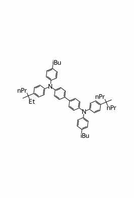 CCCC(C)(CC)c1ccc(N(c2ccc(-c3ccc(N(c4ccc(C(C)CC)cc4)c4ccc(C(C)(CCC)CCC)cc4)cc3)cc2)c2ccc(C(C)CC)cc2)cc1